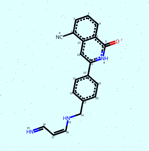 N#Cc1cccc2c(=O)[nH]c(-c3ccc(CN/C=C\C=N)cc3)cc12